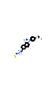 FC(F)(F)c1ccc(-n2cnc3c4ccc(/C=N/NC=S)cc4ccc32)cc1